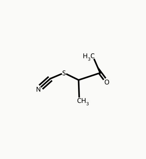 CC(=O)C(C)SC#N